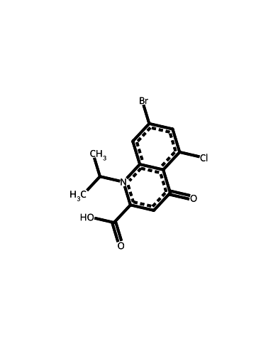 CC(C)n1c(C(=O)O)cc(=O)c2c(Cl)cc(Br)cc21